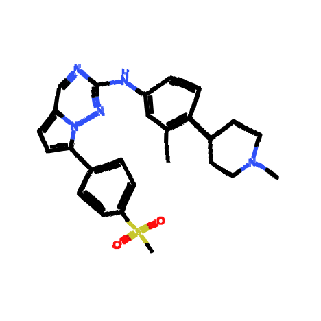 Cc1cc(Nc2ncc3ccc(-c4ccc(S(C)(=O)=O)cc4)n3n2)ccc1C1CCN(C)CC1